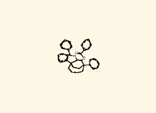 O=C(OC1C(OC(=O)c2ccccc2)C2(c3ccccc3)CCCCC1(c1ccccc1)CC2)c1ccccc1